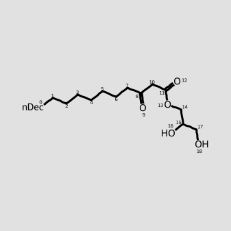 CCCCCCCCCCCCCCCCCC(=O)CC(=O)OCC(O)CO